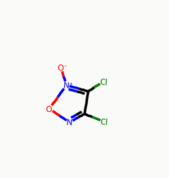 [O-][n+]1onc(Cl)c1Cl